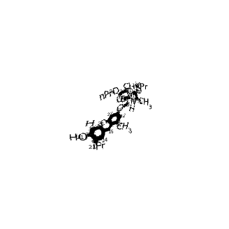 CCCOC(=O)[C@H](C)NP(=O)(COc1cc(C)c(Cc2ccc(O)c(C(C)C)c2)c(C)c1)N[C@@H](C)C(=O)OCCC